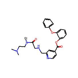 CCN(CCN(C)C)C(=O)CNCc1cc(C(=O)Oc2ccccc2Oc2ccccc2)ccn1